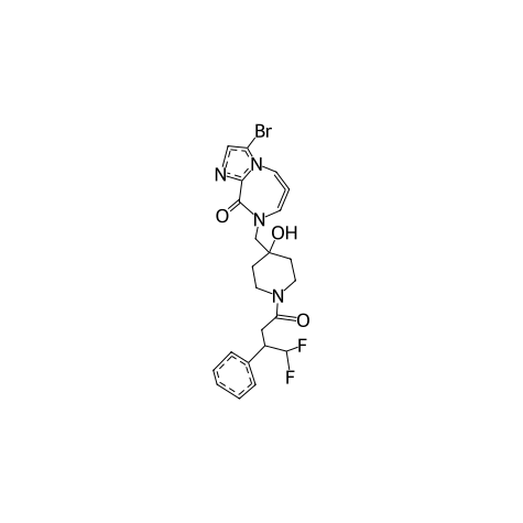 O=C1c2ncc(Br)n2C=C=CN1CC1(O)CCN(C(=O)CC(c2ccccc2)C(F)F)CC1